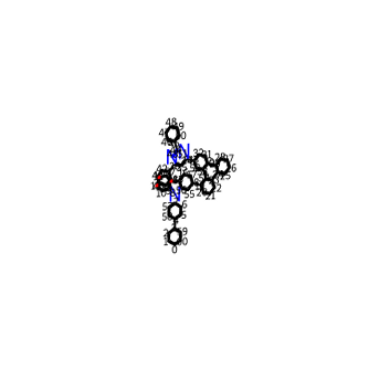 c1ccc(-c2ccc(-n3c4ccccc4c4ccc(-c5cccc6c7ccccc7c7ccc(-c8cc(-c9ccccc9)nc(-c9ccccc9)n8)cc7c56)cc43)cc2)cc1